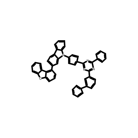 c1ccc(-c2cccc(-c3nc(-c4ccccc4)nc(-c4ccc(-n5c6ccccc6c6ccc(-c7cccc8oc9ccccc9c78)cc65)cc4)n3)c2)cc1